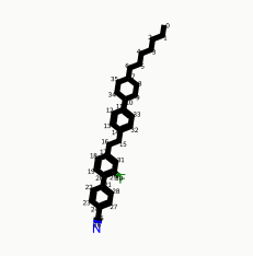 CCCCCCCC1CCC(c2ccc(CCc3ccc(-c4ccc(C#N)cc4)c(F)c3)cc2)CC1